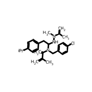 C=C(C)C(=C)N(Cc1ccc(Cl)cc1)C(Cc1ccc(C(C)C)cc1)NN(C)C(=C)C